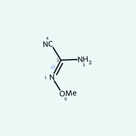 CO/N=C(\N)C#N